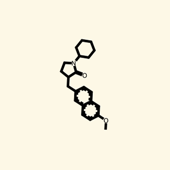 COc1ccc2cc(CC3CCN(C4CCCCC4)C3=O)ccc2c1